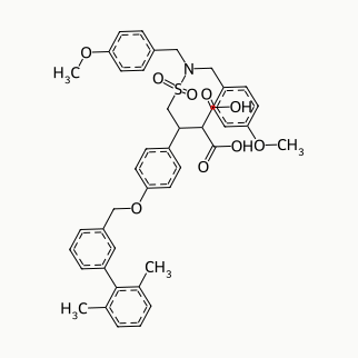 COc1ccc(CN(Cc2ccc(OC)cc2)S(=O)(=O)CC(c2ccc(OCc3cccc(-c4c(C)cccc4C)c3)cc2)C(C(=O)O)C(=O)O)cc1